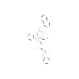 O=C(CN1CN(c2ccccc2)C2(CCN(Cc3cccc4ccccc34)CC2)C1=O)NCc1ccccc1